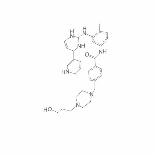 Cc1ccc(NC(=O)c2ccc(CN3CCN(CCCO)CC3)cc2)cc1NC1NC=CC(C2=CNCC=C2)N1